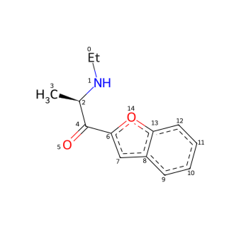 CCN[C@H](C)C(=O)c1cc2ccccc2o1